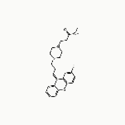 CNC(=O)CCN1CCN(CC/C=C2/c3ccccc3Sc3ccc(Cl)cc32)CC1